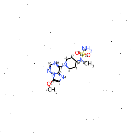 COc1cnc2c(N3CCC(N(C)S(N)(=O)=O)CC3)ncnn12